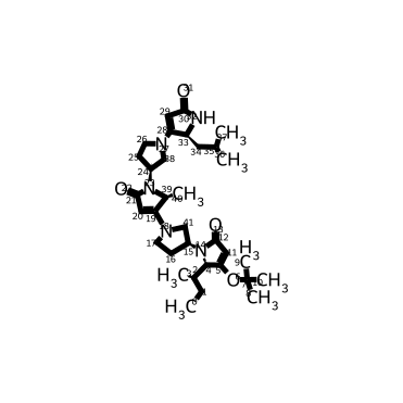 CC[C@H](C)[C@H]1C(OC(C)(C)C)=CC(=O)N1[C@H]1CCN(C2=CC(=O)N([C@H]3CCN(C4=CC(=O)N[C@H]4CC(C)C)C3)[C@H]2C)C1